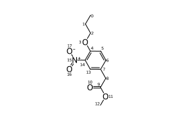 CCCOc1ccc(CC(=O)OC)cc1[N+](=O)[O-]